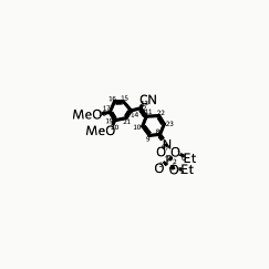 CCOP(=O)(OCC)ON=C1C=CC(=C(C#N)c2ccc(OC)c(OC)c2)C=C1